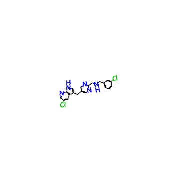 Clc1cccc(CNCc2ncc(Cc3c[nH]c4ncc(Cl)cc34)cn2)c1